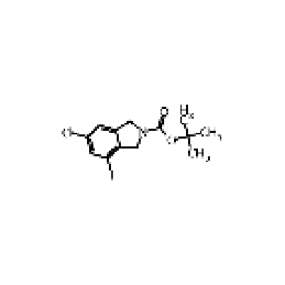 CC(C)(C)OC(=O)N1Cc2cc(Cl)cc(I)c2C1